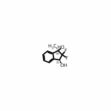 C[C@@]1(O)c2ccccc2[C@H](O)C1(F)F